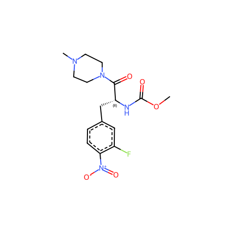 COC(=O)N[C@H](Cc1ccc([N+](=O)[O-])c(F)c1)C(=O)N1CCN(C)CC1